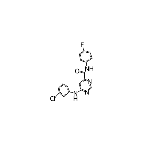 O=C(Nc1ccc(F)cc1)c1cc(Nc2cccc(Cl)c2)ncn1